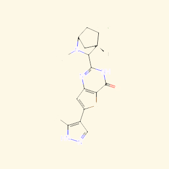 Cc1[nH]ncc1-c1cc2nc(C3[C@@H]4CC(C[C@@H]4F)N3C(=O)O)[nH]c(=O)c2s1